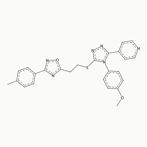 COc1ccc(-n2c(SCCc3nc(-c4ccc(C)cc4)no3)nnc2-c2ccncc2)cc1